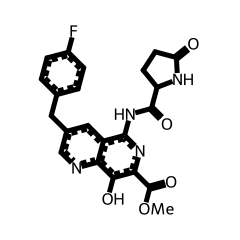 COC(=O)c1nc(NC(=O)C2CCC(=O)N2)c2cc(Cc3ccc(F)cc3)cnc2c1O